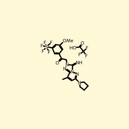 COc1cc(C(=O)Cn2nc3c(C)cc(N4CCCC4)nn3c2=N)cc(S(F)(F)(F)(F)F)c1.O=C(O)C(F)(F)F